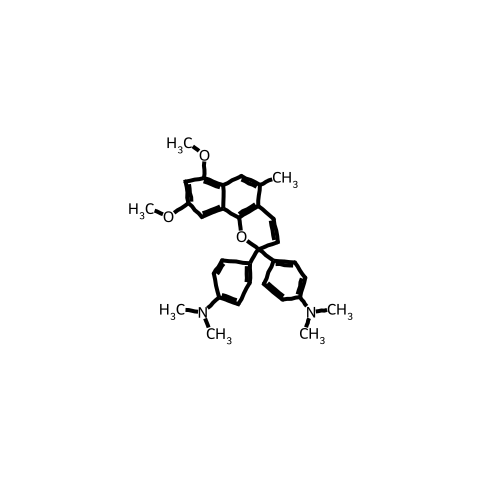 COc1cc(OC)c2cc(C)c3c(c2c1)OC(c1ccc(N(C)C)cc1)(c1ccc(N(C)C)cc1)C=C3